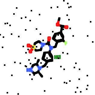 COC(=O)c1ccc(CN(C(=O)N2CCS(=O)(=O)CC2)c2ccc(CN3[C@H](C)CNC[C@@H]3C)cc2)c(F)c1.Cl